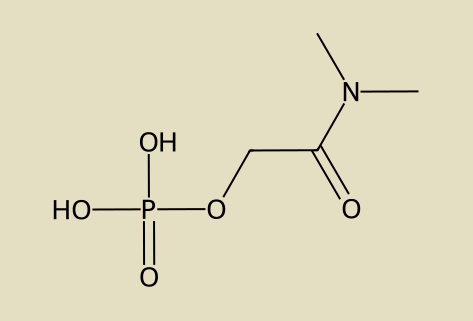 CN(C)C(=O)COP(=O)(O)O